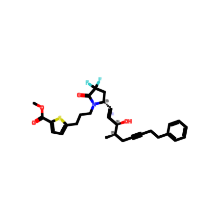 COC(=O)c1ccc(CCCN2C(=O)C(F)(F)C[C@@H]2/C=C/[C@@H](O)[C@H](C)CC#CCCc2ccccc2)s1